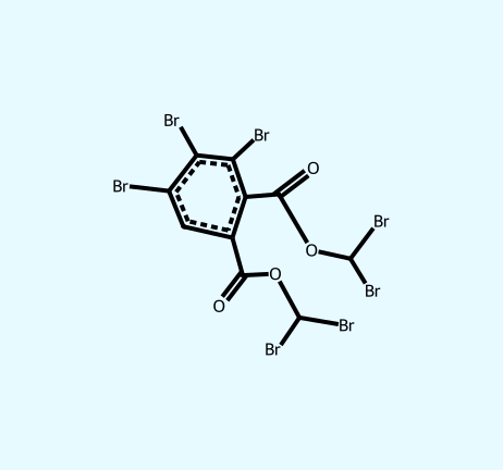 O=C(OC(Br)Br)c1cc(Br)c(Br)c(Br)c1C(=O)OC(Br)Br